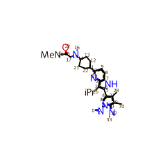 C=Nn1cc(-c2[nH]c3ccc(C4CCC(N(C)CC(=O)NC)CC4)nc3c2C(C)C)c(C)c(C)/c1=N/C